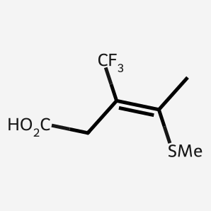 CSC(C)=C(CC(=O)O)C(F)(F)F